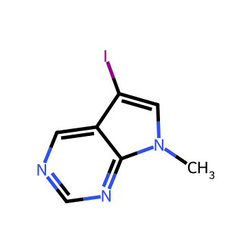 Cn1cc(I)c2cncnc21